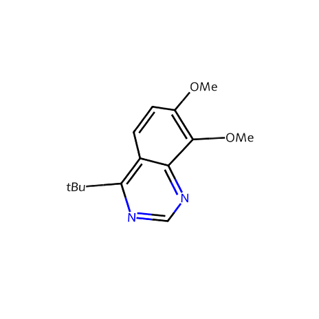 COc1ccc2c(C(C)(C)C)ncnc2c1OC